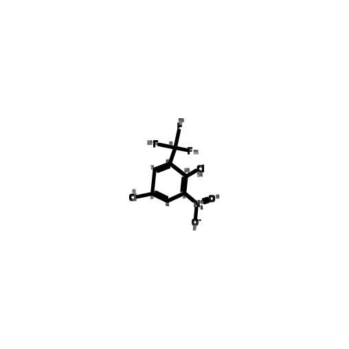 O=[N+]([O-])c1cc(Cl)cc(C(F)(F)F)c1Cl